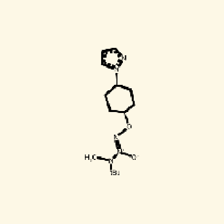 CN(/[N+]([O-])=N/O[C@H]1CC[C@@H](n2cccn2)CC1)C(C)(C)C